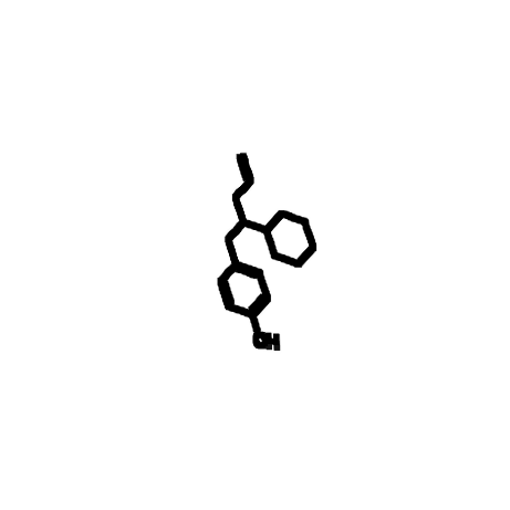 C=CCC(Cc1ccc(O)cc1)C1CCCCC1